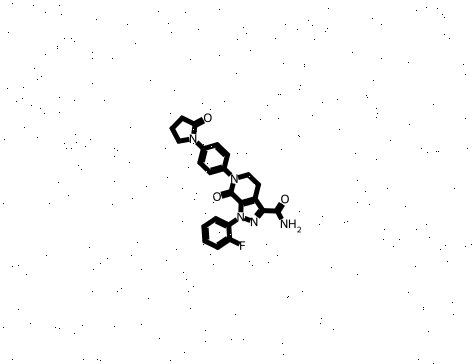 NC(=O)c1nn(-c2ccccc2F)c2c1CCN(c1ccc(N3CCCC3=O)cc1)C2=O